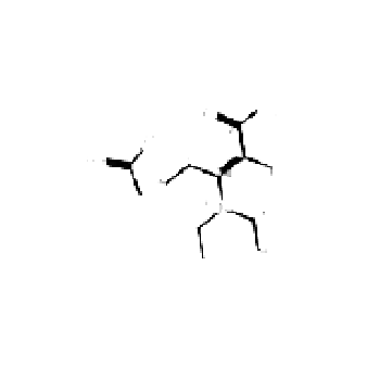 CC(=O)O.CC/C(=C(/C)C(=O)O)N(CC)CC